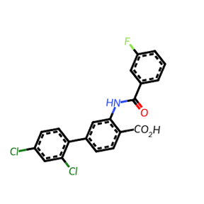 O=C(Nc1cc(-c2ccc(Cl)cc2Cl)ccc1C(=O)O)c1cccc(F)c1